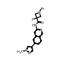 CC(C)N1CC(F)(C(=O)Nc2cc3cc(-c4cnn(C)c4)ccc3cn2)C1